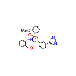 COc1ccccc1S(=O)(=O)N1Cc2ccccc2COCC1Cc1cccc(-c2cncnc2)c1